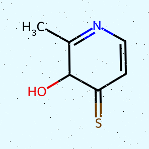 CC1=NC=CC(=S)C1O